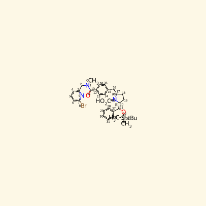 CN(Cc1cccc(Br)n1)C(=O)c1ccc(C[C@H]2CC[C@@H](C(O[Si](C)(C)C(C)(C)C)c3ccccc3)N2C(=O)O)cc1